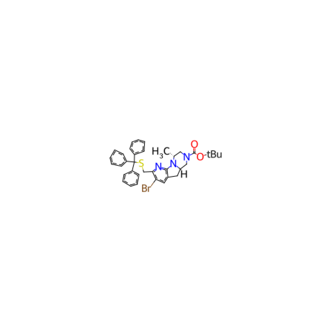 C[C@@H]1CN(C(=O)OC(C)(C)C)C[C@H]2Cc3cc(Br)c(CSC(c4ccccc4)(c4ccccc4)c4ccccc4)nc3N21